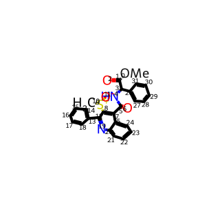 COC(=O)C(NC(=O)c1c([S+](C)[O-])c(-c2ccccc2)nc2ccccc12)c1ccccc1